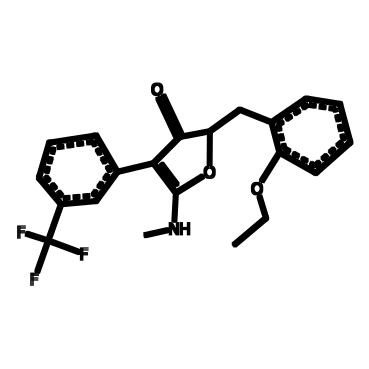 CCOc1ccccc1CC1OC(NC)=C(c2cccc(C(F)(F)F)c2)C1=O